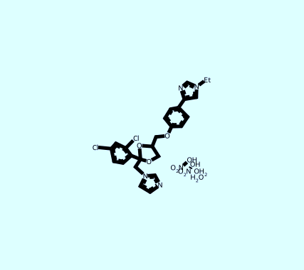 CCn1cnc(-c2ccc(OCC3COC(Cn4ccnc4)(c4ccc(Cl)cc4Cl)O3)cc2)c1.O.O.O=[N+]([O-])O.O=[N+]([O-])O